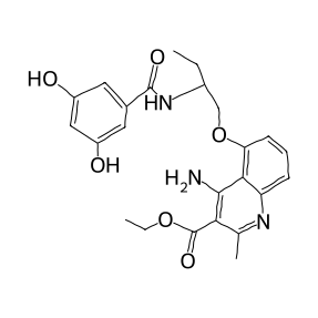 CCOC(=O)c1c(C)nc2cccc(OCC(CC)NC(=O)c3cc(O)cc(O)c3)c2c1N